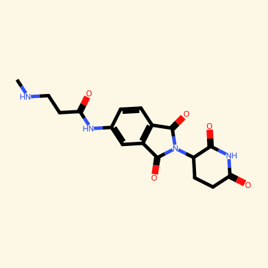 CNCCC(=O)Nc1ccc2c(c1)C(=O)N(C1CCC(=O)NC1=O)C2=O